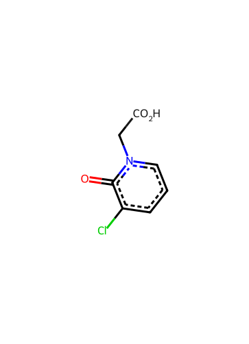 O=C(O)Cn1cccc(Cl)c1=O